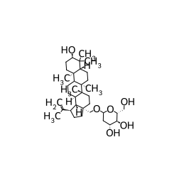 C=C(C)[C@@H]1CC[C@]2(COC3C[C@@H](O)[C@H](O)[C@@H](CO)O3)CC[C@]3(C)[C@H](CCC4[C@@]5(C)CC[C@@H](O)C(C)(C)[C@@H]5CC[C@]43C)[C@@H]12